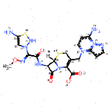 CON=C(C(=O)N[C@@H]1C(=O)N2C(C(=O)[O-])=C(C[n+]3ccc(N)n4nccc43)CS[C@@H]12)N1C=C(N)SN1